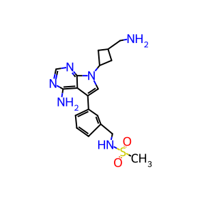 CS(=O)(=O)NCc1cccc(-c2cn(C3CC(CN)C3)c3ncnc(N)c23)c1